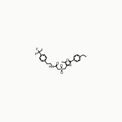 CCc1ccc(-c2nc(CS(=O)(=O)CC(=O)NCCc3ccc(C(F)(F)F)cc3)c(C)o2)cc1